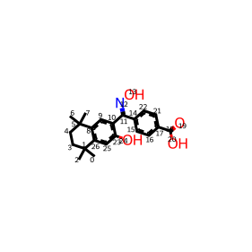 CC1(C)CCC(C)(C)c2cc(C(=NO)c3ccc(C(=O)O)cc3)c(O)cc21